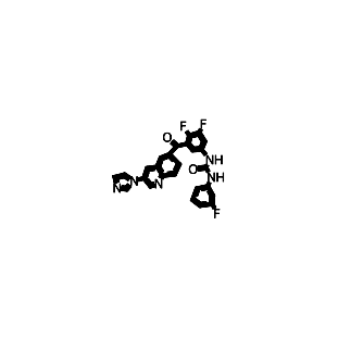 O=C(Nc1cccc(F)c1)Nc1cc(F)c(F)c(C(=O)c2ccc3ncc(-n4ccnc4)cc3c2)c1